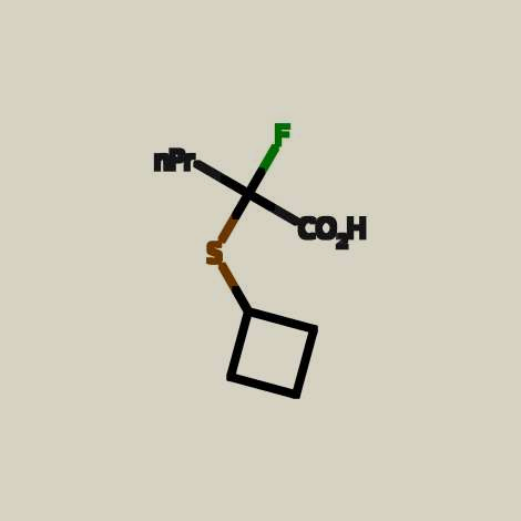 CCCC(F)(SC1CCC1)C(=O)O